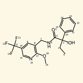 CCC(O)(C(=O)NCc1cc(C(F)(F)F)cnc1OC)c1ccccc1